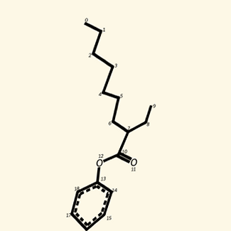 CCCCCCCC(CC)C(=O)Oc1ccccc1